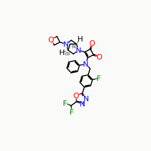 O=c1c(N(Cc2ccc(-c3nnc(C(F)F)o3)cc2F)c2ccccc2)c(N2C[C@@H]3C[C@H]2CN3C2COC2)c1=O